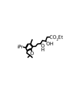 CCOC(=O)CC(O)CC(O)CCc1c(C)cc(C(C)C)c2c1OC(C)(C)C2